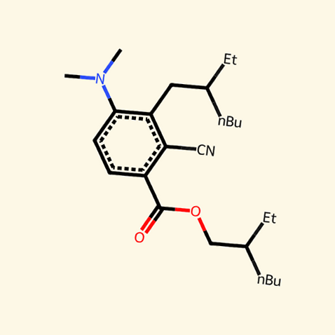 CCCCC(CC)COC(=O)c1ccc(N(C)C)c(CC(CC)CCCC)c1C#N